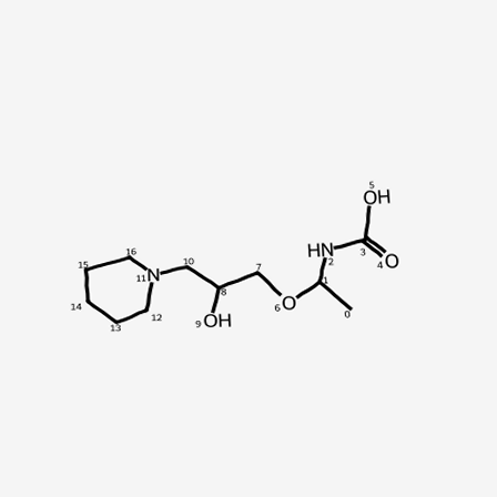 CC(NC(=O)O)OCC(O)CN1CCCCC1